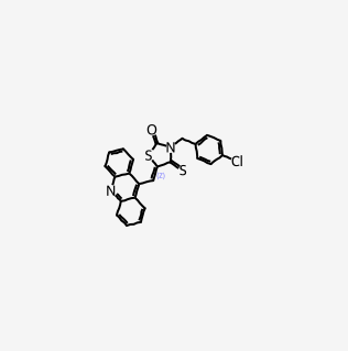 O=C1S/C(=C\c2c3ccccc3nc3ccccc23)C(=S)N1Cc1ccc(Cl)cc1